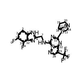 Fc1ccc2[nH]c(CNc3nc(N4CCN5CCC4CC5)nc4c(C(F)(F)F)cnn34)nc2c1F